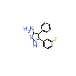 Nc1n[nH]c(-c2cccc(F)c2)c1-c1ccccc1